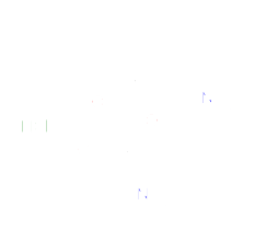 Cl.NCC1(OC(N)=O)CCCO1